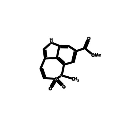 COC(=O)c1cc2c3c(c[nH]c3c1)C=CS(=O)(=O)N2C